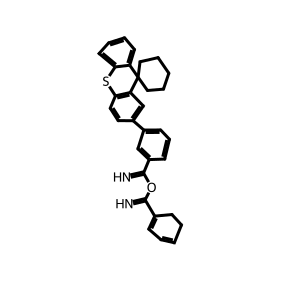 N=C(OC(=N)c1cccc(-c2ccc3c(c2)C2(CCCCC2)c2ccccc2S3)c1)C1=CC=CCC1